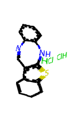 C1=Cc2c(sc3c2C=Nc2ccccc2N3)CC1.Cl.Cl